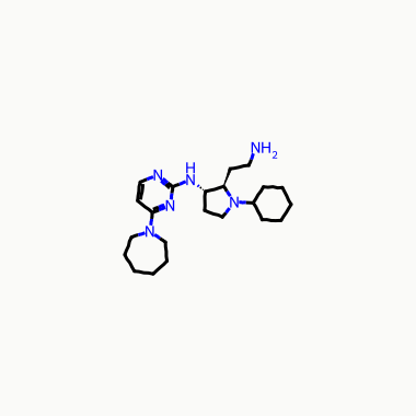 NCC[C@@H]1[C@@H](Nc2nccc(N3CCCCCC3)n2)CCN1C1CCCCC1